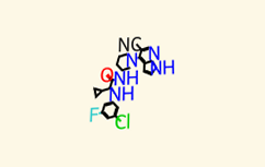 N#Cc1cnc2[nH]ccc2c1N1CCC[C@@H](NC(=O)[C@H](Nc2cc(F)cc(Cl)c2)C2CC2)C1